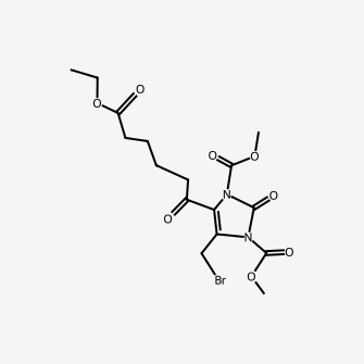 CCOC(=O)CCCCC(=O)c1c(CBr)n(C(=O)OC)c(=O)n1C(=O)OC